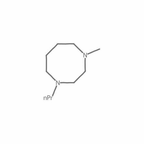 CCCN1CCCCN(C)CC1